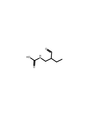 CCC(C=O)CNC(=O)O